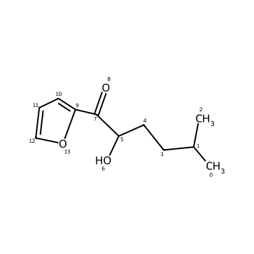 CC(C)CCC(O)C(=O)c1ccco1